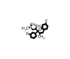 C/C(=C/c1ccc(F)cc1)C(O)(c1cccc(F)c1)C(C)CN(C)C